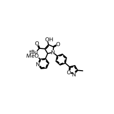 COc1ncccc1C1C(C(=O)C(C)(C)C)=C(O)C(=O)N1c1ccc(-c2cc(C)no2)cc1